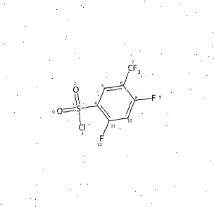 O=S(=O)(Cl)c1cc(C(F)(F)F)c(F)cc1F